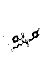 O=CCCC[C@@H](C(=O)NCc1ccc(F)cc1)N(C=O)c1ccccc1